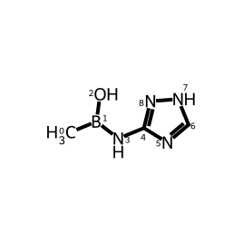 CB(O)Nc1nc[nH]n1